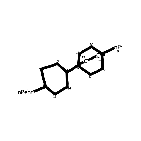 CCCCCC1CCC(C23CCC(CCC)(CC2)CC3)CC1